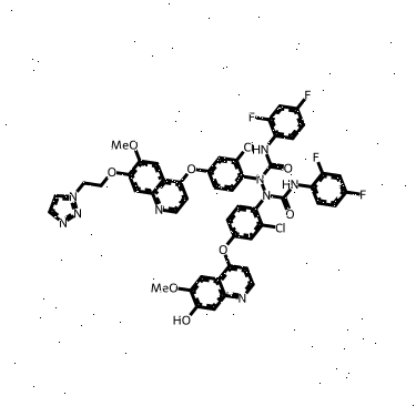 COc1cc2c(Oc3ccc(N(C(=O)Nc4ccc(F)cc4F)N(C(=O)Nc4ccc(F)cc4F)c4ccc(Oc5ccnc6cc(OCCn7ccnn7)c(OC)cc56)cc4Cl)c(Cl)c3)ccnc2cc1O